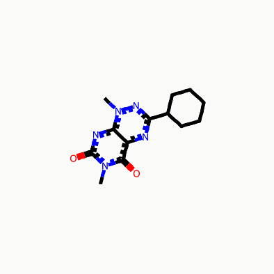 Cn1nc(C2CCCCC2)nc2c(=O)n(C)c(=O)nc1-2